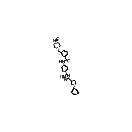 O=C(Nc1ccc(-c2nc(C3CCN(c4ccccc4)C3)n[nH]2)cc1)c1cccc(CN2CCS(=O)(=O)CC2)c1